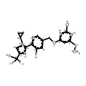 CSc1cc(OCc2cnc(-c3nc(C(F)(F)F)cn3C3CC3)c(F)c2)nc(Cl)n1